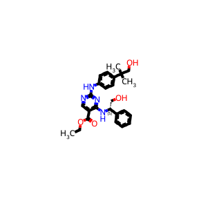 CCOC(=O)c1cnc(Nc2ccc(C(C)(C)CO)cc2)nc1N[C@H](CO)c1ccccc1